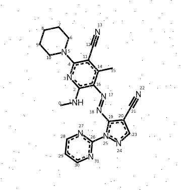 CNc1nc(N2CCCCC2)c(C#N)c(C)c1/N=N/c1c(C#N)cnn1-c1ncccn1